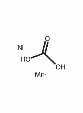 O=C(O)O.[Mn].[Ni]